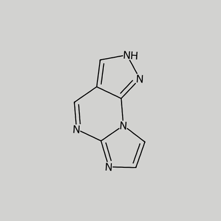 c1cn2c(n1)ncc1c[nH]nc12